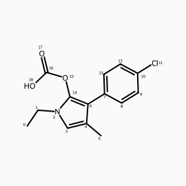 CCn1cc(C)c(-c2ccc(Cl)cc2)c1OC(=O)O